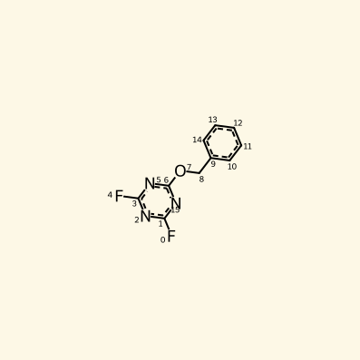 Fc1nc(F)nc(OCc2ccccc2)n1